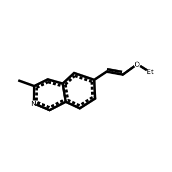 CCOC=Cc1ccc2cnc(C)cc2c1